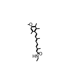 CCNC(=O)/C=C(C)/C=C/C=C(C)/C=C/c1c(C)cc(OC)c(C)c1C